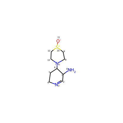 NC1C=NCCC1N1CC[S+]([O-])CC1